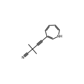 CC(C)(C#N)C#CC1=CNC=CC=C1